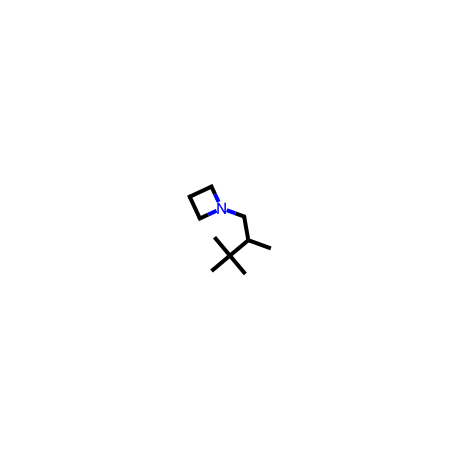 CC(CN1CCC1)C(C)(C)C